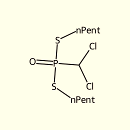 CCCCCSP(=O)(SCCCCC)C(Cl)Cl